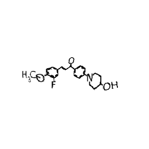 COc1ccc(/C=C/C(=O)c2ccc(N3CCC(O)CC3)cc2)cc1F